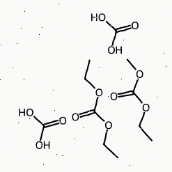 CCOC(=O)OC.CCOC(=O)OCC.O=C(O)O.O=C(O)O